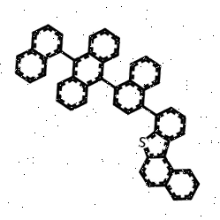 c1ccc2c(-c3c4ccccc4c(-c4ccc(-c5cccc6c5sc5ccc7ccccc7c56)c5ccccc45)c4ccccc34)cccc2c1